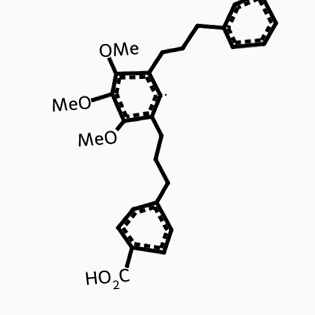 COc1c(CCCc2ccccc2)[c]c(CCCc2ccc(C(=O)O)cc2)c(OC)c1OC